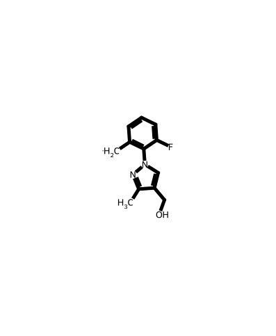 [CH2]c1cccc(F)c1-n1cc(CO)c(C)n1